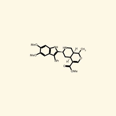 CCCc1c([C@@H]2C[C@@H]3C(C(=O)OC)=CO[C@H](C)[C@@H]3CN2)[nH]c2cc(OC)c(OC)cc12